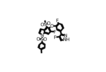 Cc1ccc(S(=O)(=O)n2ccc3c(S(C)(=O)=O)c(Oc4cc(-c5n[nH]cc5F)ccc4F)c(F)cc32)cc1